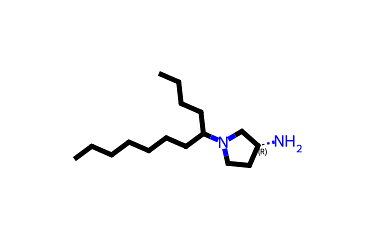 CCCCCCCC(CCCC)N1CC[C@@H](N)C1